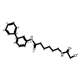 O=C(CCl)NCCCCCC(=O)Nc1cccc(-c2ccccc2)c1